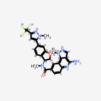 CN(C(=O)c1ccc2nc(N)c3cnn(C)c3c2c1)[C@@H]1COc2cc(-c3cc(C(F)(F)F)nn3C)ccc21